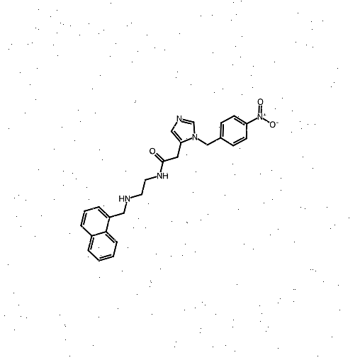 O=C(Cc1cncn1Cc1ccc([N+](=O)[O-])cc1)NCCNCc1cccc2ccccc12